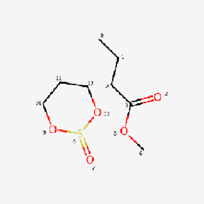 CCCC(=O)OC.O=S1OCCCO1